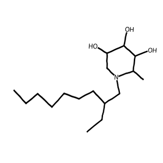 CCCCCCCC(CC)CN1CC(O)C(O)C(O)C1C